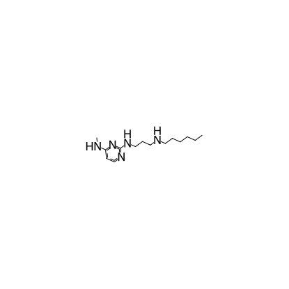 CCCCCCNCCCNc1nccc(NC)n1